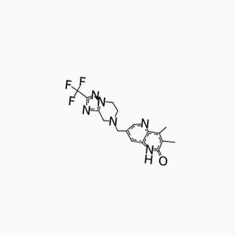 Cc1c(C)c2ncc(CN3CCn4nc(C(F)(F)F)nc4C3)cc2[nH]c1=O